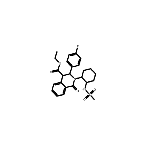 CCOC(=O)C1c2ccccc2C(=O)N(C2CCCCC2NS(C)(=O)=O)C1c1ccc(F)cc1